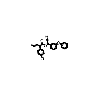 CCCC(C(=O)OC(C#N)c1cccc(Oc2ccccc2)c1)c1ccc(Cl)cc1